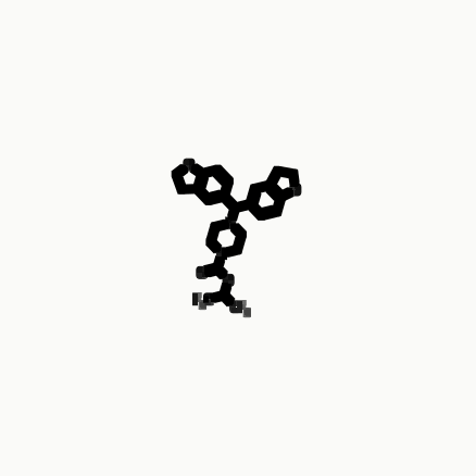 O=C(OC(C(F)(F)F)C(F)(F)F)N1CCN(C(c2ccc3c(c2)CCO3)c2ccc3c(c2)CCO3)CC1